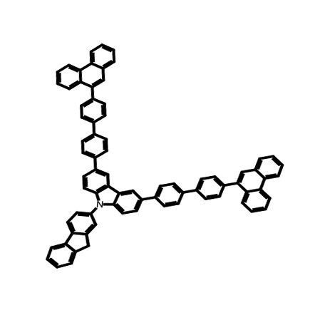 c1ccc2c(c1)Cc1cc(-n3c4ccc(-c5ccc(-c6ccc(-c7cc8ccccc8c8ccccc78)cc6)cc5)cc4c4cc(-c5ccc(-c6ccc(-c7cc8ccccc8c8ccccc78)cc6)cc5)ccc43)ccc1-2